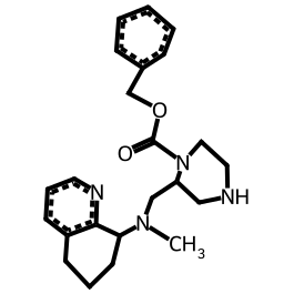 CN(CC1CNCCN1C(=O)OCc1ccccc1)C1CCCc2cccnc21